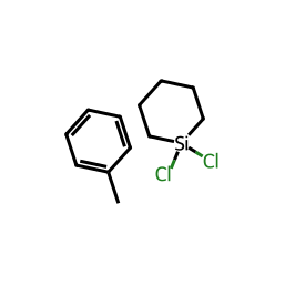 Cc1ccccc1.Cl[Si]1(Cl)CCCCC1